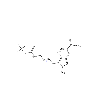 CC(C)(C)OC(=O)NC/C=C/Cn1c(N)nc2cc(C(N)=O)cnc21